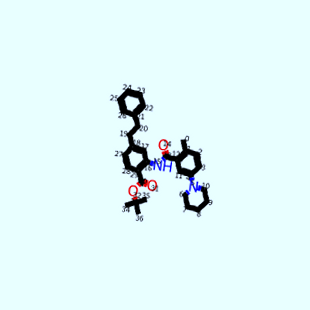 Cc1ccc(N2CCCCC2)cc1C(=O)Nc1cc(CCc2ccccc2)ccc1C(=O)OC(C)(C)C